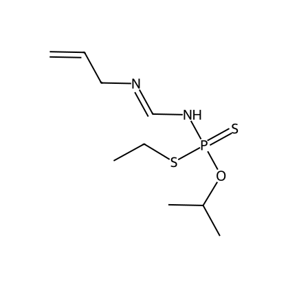 C=CCN=CNP(=S)(OC(C)C)SCC